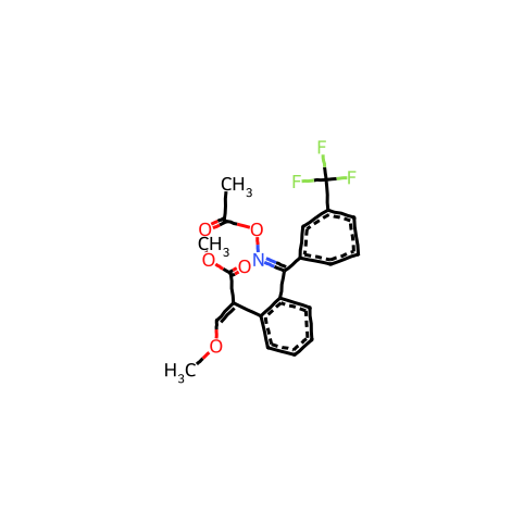 CO/C=C(/C(=O)OC)c1ccccc1/C(=N/OC(C)=O)c1cccc(C(F)(F)F)c1